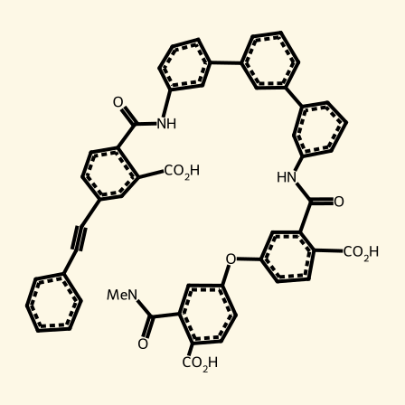 CNC(=O)c1cc(Oc2ccc(C(=O)O)c(C(=O)Nc3cccc(-c4cccc(-c5cccc(NC(=O)c6ccc(C#Cc7ccccc7)cc6C(=O)O)c5)c4)c3)c2)ccc1C(=O)O